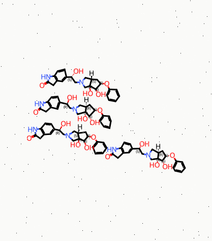 O=C1Cc2cc([C@@H](O)CN3C[C@@H]4C[C@@H](Oc5ccccc5)[C@@H](O)[C@]4(O)C3)ccc2N1.O=C1Cc2cc([C@@H](O)CN3C[C@H]4C[C@H](Oc5ccccc5)[C@H](O)[C@@]4(O)C3)ccc2N1.O=C1Cc2cc([C@H](O)CN3C[C@@H]4C[C@@H](Oc5ccccc5)[C@@H](O)[C@]4(O)C3)ccc2N1.O=C1Cc2cc([C@H](O)CN3C[C@H]4C[C@H](Oc5ccccc5)[C@H](O)[C@@]4(O)C3)ccc2N1